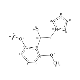 COc1cccc(OC)c1C(O)Cn1ccnc1